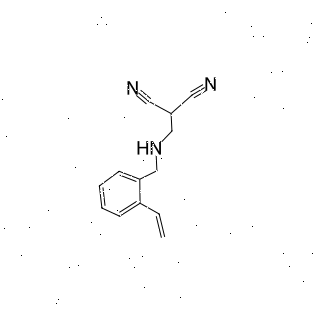 C=Cc1ccccc1CNCC(C#N)C#N